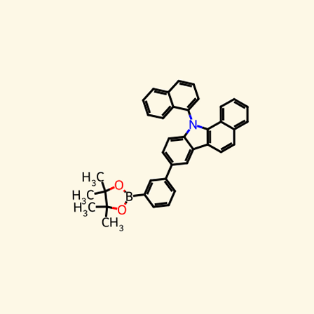 CC1(C)OB(c2cccc(-c3ccc4c(c3)c3ccc5ccccc5c3n4-c3cccc4ccccc34)c2)OC1(C)C